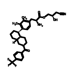 Cc1c(C[C@H](N)C(=O)OC[C@@H](O)CC#N)ccc([C@H]2CCC[C@H]3CN(C(=O)c4ccc(C(F)(F)F)cc4)CCN32)c1C